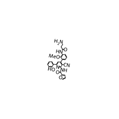 COc1c(NC(=O)CCN)cccc1-c1cc(-c2ccccc2O)nc(NC(=O)c2ccco2)c1C#N